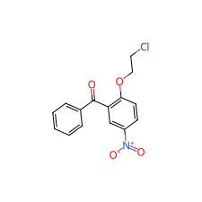 O=C(c1ccccc1)c1cc([N+](=O)[O-])ccc1OCCCl